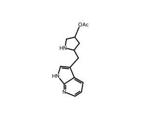 CC(=O)OC1CNC(Cc2c[nH]c3ncccc23)C1